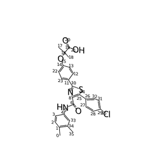 Cc1ccc(NC(=O)c2nc(-c3ccc(OC(C)(C)C(=O)O)cc3)sc2-c2ccc(Cl)cc2)cc1C